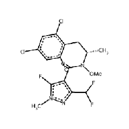 CON(C(=O)c1c(C(F)F)nn(C)c1F)[C@@H](C)Cc1c(Cl)cc(Cl)cc1Cl